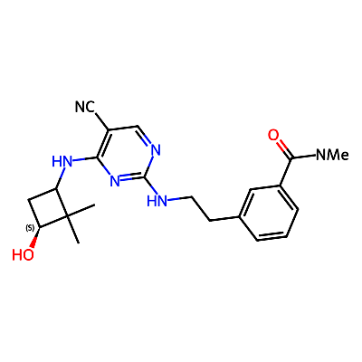 CNC(=O)c1cccc(CCNc2ncc(C#N)c(NC3C[C@H](O)C3(C)C)n2)c1